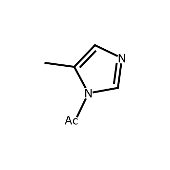 CC(=O)n1cncc1C